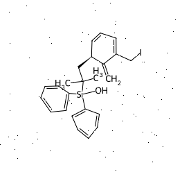 C=C1C(CI)=CC=C[C@@H]1CC(C)(C)[Si](O)(c1ccccc1)c1ccccc1